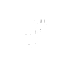 COCC(C)(C)n1ccc(C(N)=O)c1